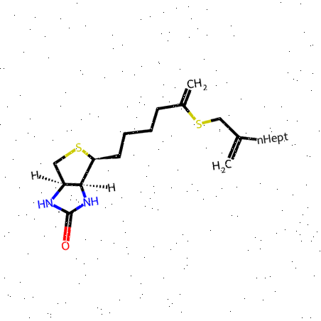 C=C(CCCCCCC)CSC(=C)CCCC[C@@H]1SC[C@@H]2NC(=O)N[C@@H]21